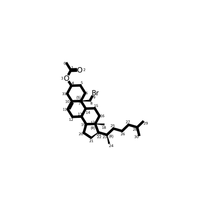 CC(=O)OC1CC[C@@]2(CBr)C(=CCC3C2CC[C@@]2(C)C3CC[C@@H]2[C@H](C)CCCC(C)C)C1